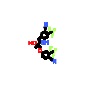 CC(O)(COc1ccc(C#N)c(C(F)(F)F)c1)c1cc2cc(C#N)c(C(F)(F)F)cc2[nH]1